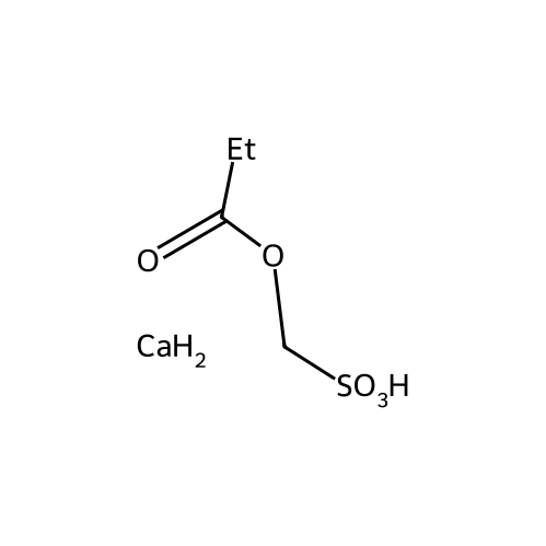 CCC(=O)OCS(=O)(=O)O.[CaH2]